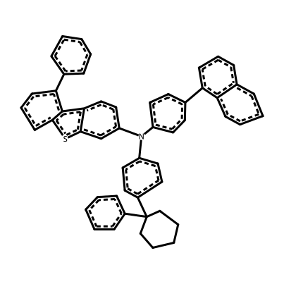 c1ccc(-c2cccc3sc4cc(N(c5ccc(-c6cccc7ccccc67)cc5)c5ccc(C6(c7ccccc7)CCCCC6)cc5)ccc4c23)cc1